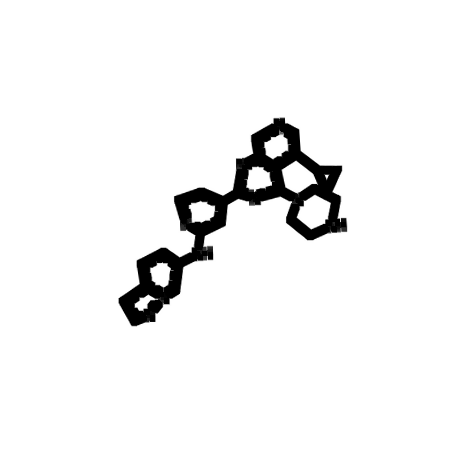 c1cc(-c2nc(N3CCNCC3)c3c(C4CC4)cncc3n2)cc(Nc2ccc3ccnn3c2)n1